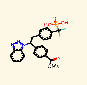 COC(=O)c1ccc(C(Cc2ccc(C(F)(F)P(=O)(O)O)cc2)n2nnc3ccccc32)cc1